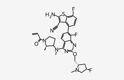 C=CC(=O)N1CC[C@@H](N(C)c2nc(OC[C@@H]3C[C@@H](F)CN3C)nc3c(F)c(-c4ccc(F)c5sc(N)c(C#N)c45)ccc23)[C@H]1C